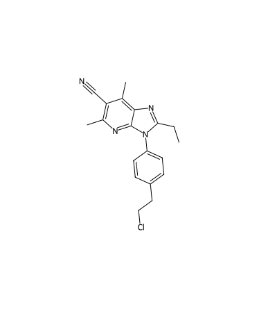 CCc1nc2c(C)c(C#N)c(C)nc2n1-c1ccc(CCCl)cc1